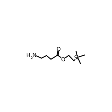 C[Si](C)(C)CCOC(=O)CCCN